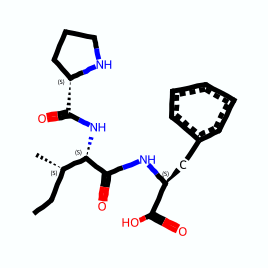 CC[C@H](C)[C@H](NC(=O)[C@@H]1CCCN1)C(=O)N[C@@H](Cc1ccccc1)C(=O)O